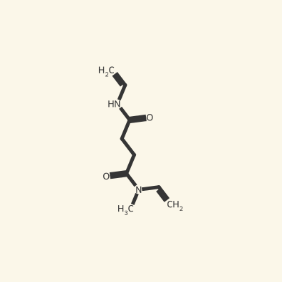 C=CNC(=O)CCC(=O)N(C)C=C